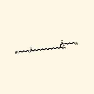 CC(C)CCCCCOC(=O)CCCCCCCCCCCCCCCC(CC(=O)OCCCCCC(C)C)C(C)C